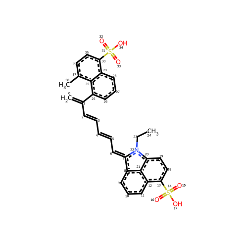 C=C(/C=C/C=C/C=c1/c2cccc3c(S(=O)(=O)O)ccc(c32)n1CC)c1cccc2c(S(=O)(=O)O)ccc(C)c12